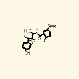 CSc1ccc(Cl)c(C(=O)NC(C)C(C)C(=O)c2ccc(C#N)cc2)c1